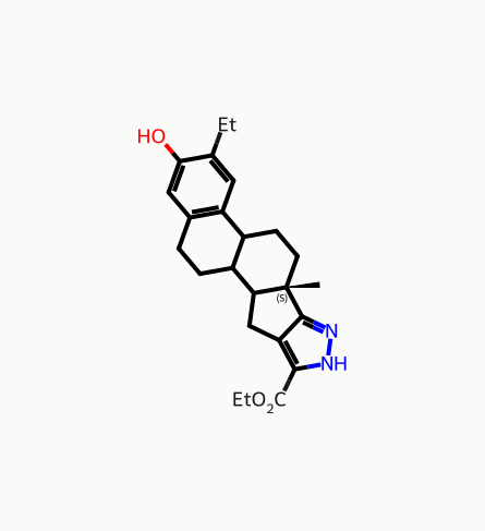 CCOC(=O)c1[nH]nc2c1CC1C3CCc4cc(O)c(CC)cc4C3CC[C@]21C